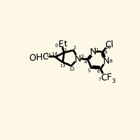 CCC12CN(c3cc(C(F)(F)F)nc(Cl)n3)CC1C2C=O